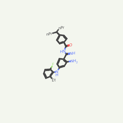 CCCC(CCC)c1ccc(C(=O)NC(=N)c2ccc(Nc3c(F)cccc3CC)cc2N)cc1